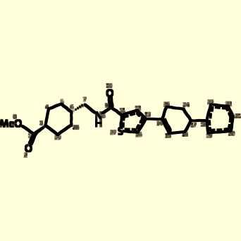 COC(=O)[C@H]1CC[C@H](CNC(=O)c2cc(C3=CCC(c4ccccc4)CC3)cs2)CC1